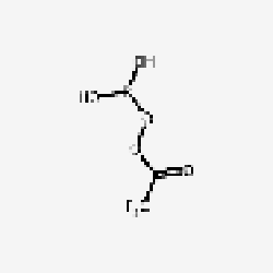 O=C(OOB(O)O)C(F)(F)F